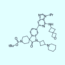 CC(C)n1cnc2cc(-c3ccc4c(c3)N(C3CC(N5CCCCC5)C3)C(=O)C43CCN(C(=O)OC(C)(C)C)CC3)nc(NC3CC4(COC4)C3)c21